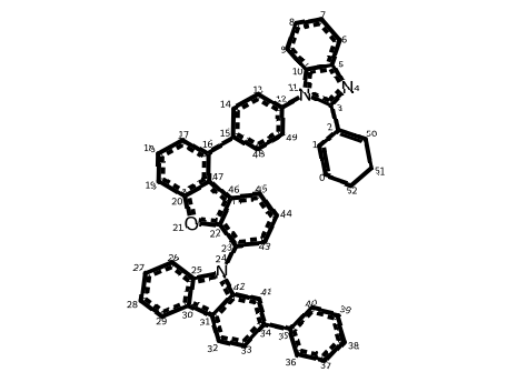 C1=CC(c2nc3ccccc3n2-c2ccc(-c3cccc4oc5c(-n6c7ccccc7c7ccc(-c8ccccc8)cc76)cccc5c34)cc2)=CCC1